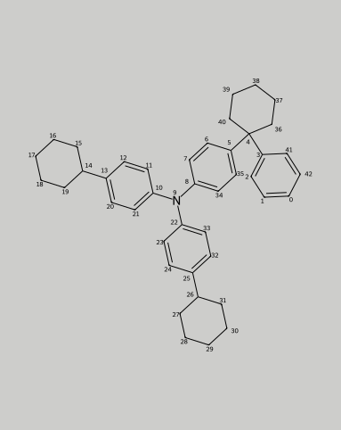 c1ccc(C2(c3ccc(N(c4ccc(C5CCCCC5)cc4)c4ccc(C5CCCCC5)cc4)cc3)CCCCC2)cc1